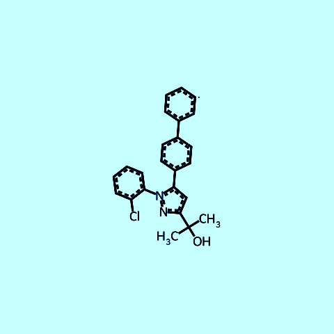 CC(C)(O)c1cc(-c2ccc(-c3c[c]ccc3)cc2)n(-c2ccccc2Cl)n1